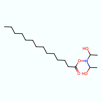 CCCCCCCCCCCCCC(=O)ON(C(C)O)C(C)O